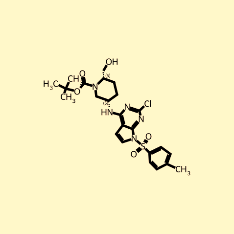 Cc1ccc(S(=O)(=O)n2ccc3c(N[C@H]4CC[C@@H](CO)N(C(=O)OC(C)(C)C)C4)nc(Cl)nc32)cc1